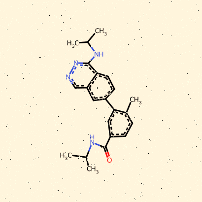 Cc1ccc(C(=O)NC(C)C)cc1-c1ccc2c(NC(C)C)nncc2c1